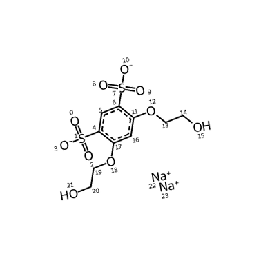 O=S(=O)([O-])c1cc(S(=O)(=O)[O-])c(OCCO)cc1OCCO.[Na+].[Na+]